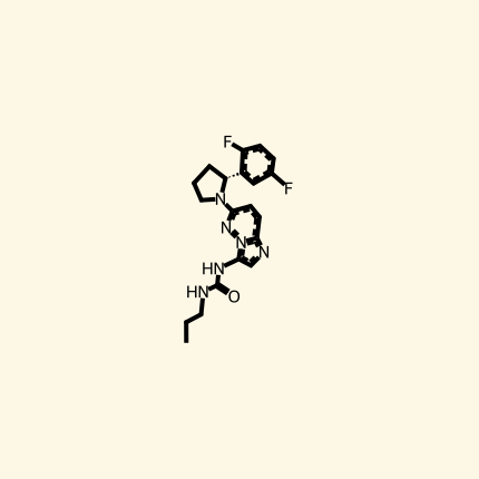 CCCNC(=O)Nc1cnc2ccc(N3CCC[C@@H]3c3cc(F)ccc3F)nn12